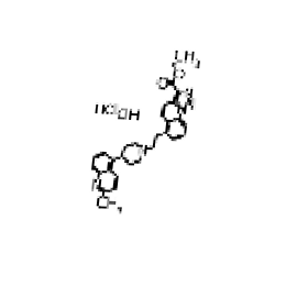 CCOC(=O)c1nnn2c1ccc1c(CCN3CCC(c4cccc5nc(C)ccc45)CC3)cccc12.Cl.Cl